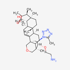 Cc1nnnn1[C@@H]1C[C@@]23COC[C@@](C)([C@@H]2CC[C@H]2C3=CC[C@@]3(C)[C@H](C(=O)O)[C@@](C)([C@H](C)C(C)C)CC[C@]23C)[C@H]1OCCN